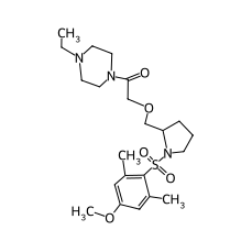 CCN1CCN(C(=O)COCC2CCCN2S(=O)(=O)c2c(C)cc(OC)cc2C)CC1